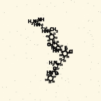 C[C@H](NCCCNC(=N)N)c1ccc(-n2cc3cc(-c4cc(CCC[C@@H](N)COC(=O)Nc5ccccc5)cc(Cl)c4F)[nH]c3nc2=O)cc1